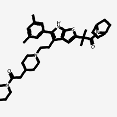 Cc1cc(C)cc(-c2[nH]c3sc(C(C)(C)C(=O)N4C5CCC4CC5)cc3c2CCN2CCC(CC(=O)N3CCCCC3)CC2)c1